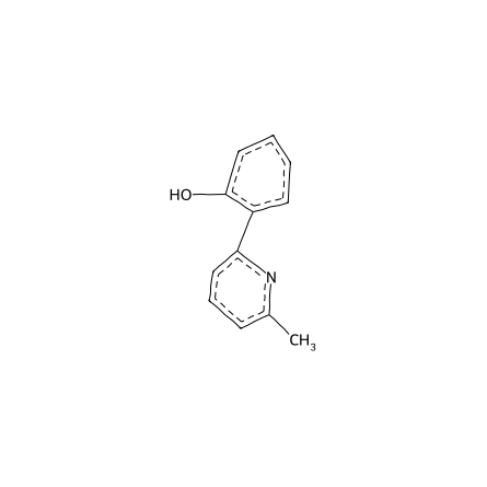 Cc1cccc(-c2ccccc2O)n1